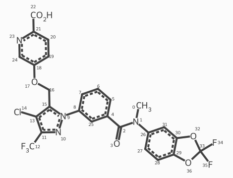 CN(C(=O)c1cccc(-n2nc(C(F)(F)F)c(Cl)c2COc2ccc(C(=O)O)nc2)c1)c1ccc2c(c1)OC(F)(F)O2